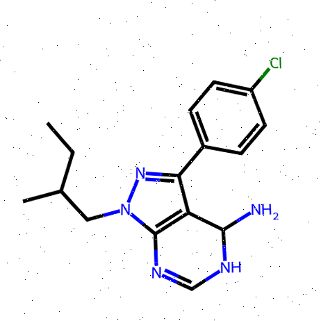 CCC(C)Cn1nc(-c2ccc(Cl)cc2)c2c1N=CNC2N